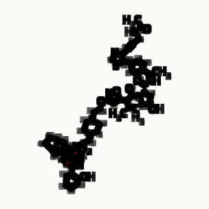 CC(=O)NCC#Cc1ncsc1-c1ccc([C@H](C)NC(=O)[C@@H]2C[C@@H](O)CN2C(=O)C(c2cc(OCCN3CCN(CCOc4cc(N5C6CCC5CN(c5cc(-c7ccccc7O)nnc5N)C6)ccn4)CC3)no2)C(C)C)cc1